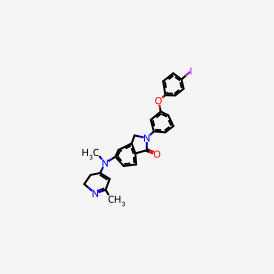 CC1=NCCC(N(C)c2ccc3c(c2)CN(c2cccc(Oc4ccc(I)cc4)c2)C3=O)=C1